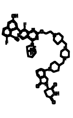 C#Cc1c(F)ccc2cc(O)cc(-c3ncc4c(N5CC6CCC(C5)N6)nc(OCCN5CCC(CN6CCN(CC7CCN(c8cccc9c8CN(C8CCC(=O)NC8=O)C9=O)CC7)CC6)CC5)nc4c3F)c12